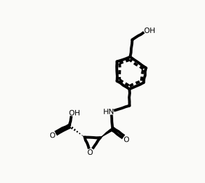 O=C(O)[C@H]1O[C@@H]1C(=O)NCc1ccc(CO)cc1